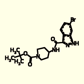 CC(C)(C)OC(=O)N1CCC(NC(=O)c2n[nH]c3cc(Br)ccc23)CC1